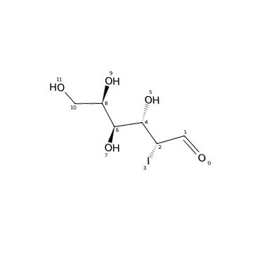 O=C[C@H](I)[C@@H](O)[C@@H](O)[C@H](O)CO